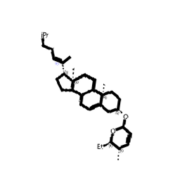 CC[C@H]1OC(O[C@H]2CC[C@@]3(C)C(=CCC4C3CC[C@@]3(C)C4CC[C@@H]3/C(C)=C/CCC(C)C)C2)C=C[C@@H]1C